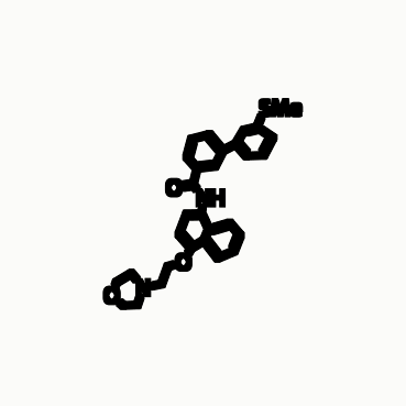 CSc1cccc(-c2cccc(C(=O)Nc3ccc(OCCN4CCOCC4)c4ccccc34)c2)c1